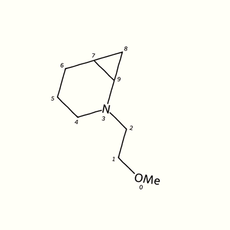 COCCN1CCCC2CC21